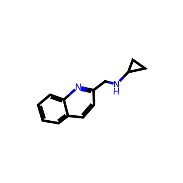 c1ccc2nc(CNC3CC3)ccc2c1